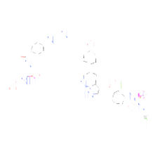 O=C1CCC(N2Cc3cc(N4CCN(C[C@H]5C[C@H](Oc6ccc(-c7cnc8[nH]cc(C(=O)c9c(F)ccc(NS(=O)(=O)N%10CC[C@@H](F)C%10)c9F)c8c7)cc6)C5)CC4)ccc3C2=O)C(=O)N1